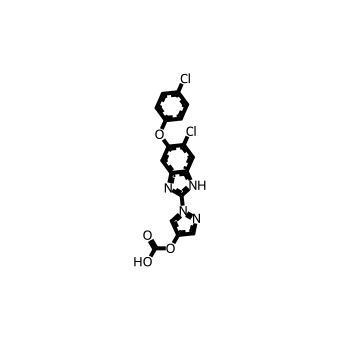 O=C(O)Oc1cnn(-c2nc3cc(Oc4ccc(Cl)cc4)c(Cl)cc3[nH]2)c1